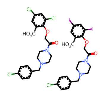 O=C(O)c1cc(Cl)cc(Cl)c1OCC(=O)N1CCN(Cc2ccc(Cl)cc2)CC1.O=C(O)c1cc(I)cc(I)c1OCC(=O)N1CCN(Cc2ccc(Cl)cc2)CC1